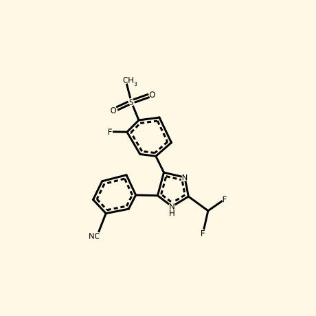 CS(=O)(=O)c1ccc(-c2nc(C(F)F)[nH]c2-c2cccc(C#N)c2)cc1F